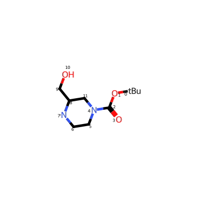 CC(C)(C)OC(=O)N1CC[N]C(CO)C1